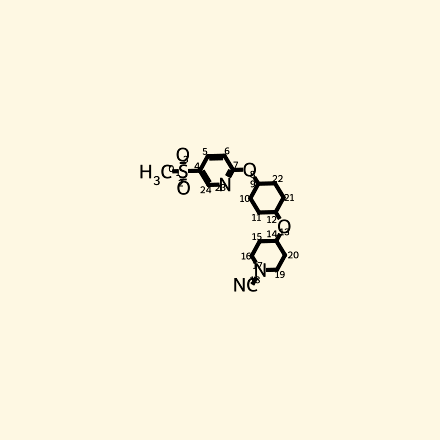 CS(=O)(=O)c1ccc(OC2CCC(OC3CCN(C#N)CC3)CC2)nc1